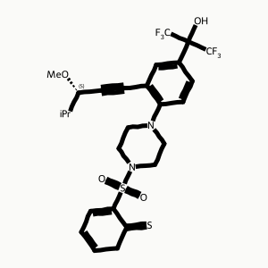 CO[C@H](C#Cc1cc(C(O)(C(F)(F)F)C(F)(F)F)ccc1N1CCN(S(=O)(=O)C2=CC=CCC2=S)CC1)C(C)C